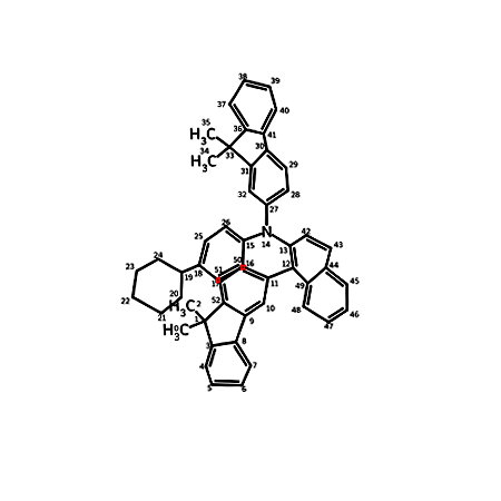 CC1(C)c2ccccc2-c2cc(-c3c(N(c4ccc(C5CCCCC5)cc4)c4ccc5c(c4)C(C)(C)c4ccccc4-5)ccc4ccccc34)ccc21